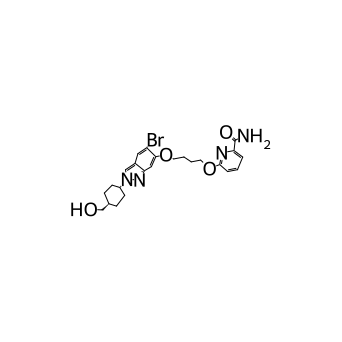 NC(=O)c1cccc(OCCCCOc2cc3nn([C@H]4CC[C@H](CO)CC4)cc3cc2Br)n1